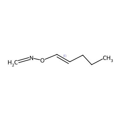 C=NO/C=C/CCC